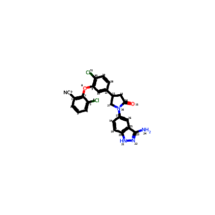 N#Cc1cccc(Cl)c1Oc1cc(C2CC(=O)N(c3ccc4[nH]nc(N)c4c3)C2)ccc1Cl